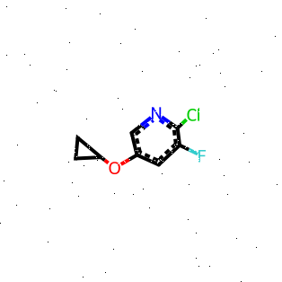 Fc1cc(OC2CC2)cnc1Cl